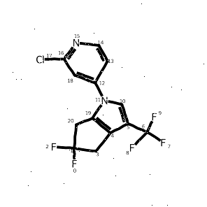 FC1(F)Cc2c(C(F)(F)F)cn(-c3ccnc(Cl)c3)c2C1